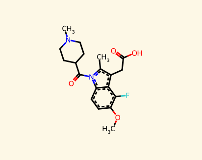 COc1ccc2c(c1F)c(CC(=O)O)c(C)n2C(=O)C1CCN(C)CC1